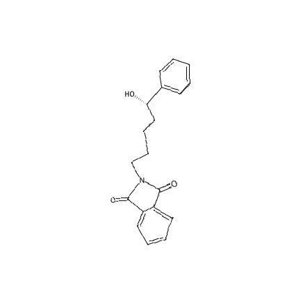 O=C1c2ccccc2C(=O)N1CCCC[C@H](O)c1ccccc1